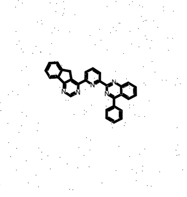 c1ccc(-c2nc(-c3cccc(-c4ncnc5c4Cc4ccccc4-5)n3)nc3ccccc23)cc1